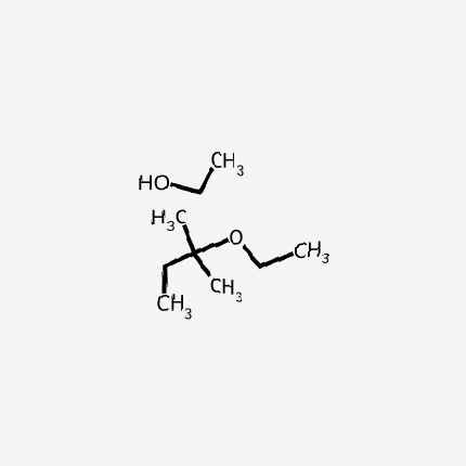 CCO.CCOC(C)(C)CC